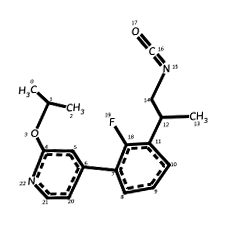 CC(C)Oc1cc(-c2cccc(C(C)CN=C=O)c2F)ccn1